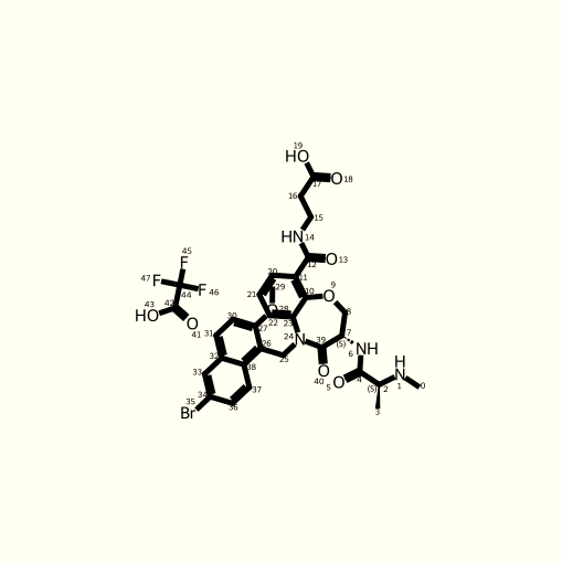 CN[C@@H](C)C(=O)N[C@H]1COc2c(C(=O)NCCC(=O)O)cccc2N(Cc2c(OC)ccc3cc(Br)ccc23)C1=O.O=C(O)C(F)(F)F